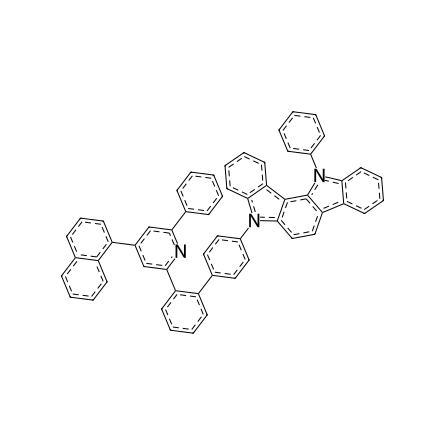 c1ccc(-c2cc(-c3cccc4ccccc34)cc(-c3ccccc3-c3ccc(-n4c5ccccc5c5c4ccc4c6ccccc6n(-c6ccccc6)c45)cc3)n2)cc1